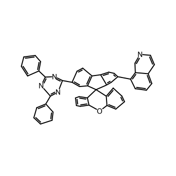 c1ccc(-c2nc(-c3ccccc3)nc(-c3ccc4c(c3)C3(c5ccccc5Oc5ccccc53)c3cc(-c5cccc6ccncc56)ccc3-4)n2)cc1